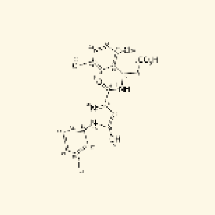 O=C(O)CC(NC(=O)c1cc(O)n(-c2cccc(F)c2)n1)c1cc(Cl)ccc1Cl